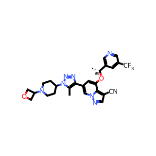 Cc1c(-c2cc(O[C@H](C)c3cncc(C(F)(F)F)c3)c3c(C#N)cnn3c2)nnn1C1CCN(C2COC2)CC1